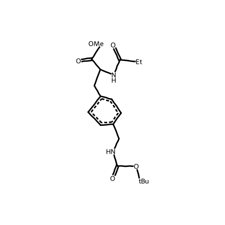 CCC(=O)NC(Cc1ccc(CNC(=O)OC(C)(C)C)cc1)C(=O)OC